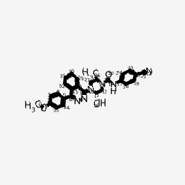 COc1ccc(-c2nnc(N3CCN(C(=O)Nc4ccc(C#N)cc4)C(C)C3)c3ccccc23)cc1.Cl